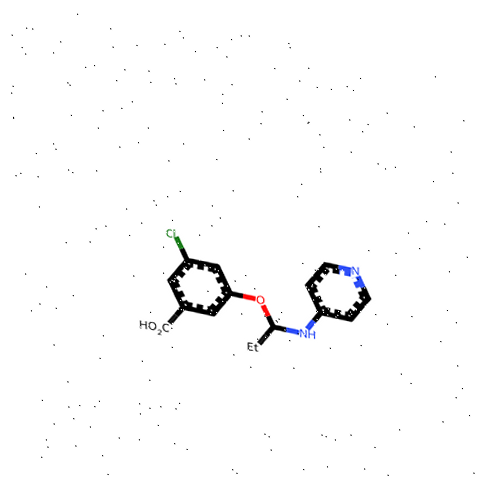 CCC(Nc1ccncc1)Oc1cc(Cl)cc(C(=O)O)c1